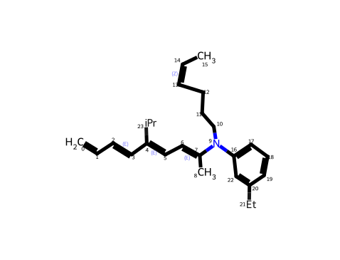 C=C/C=C/C(=C/C=C(\C)N(CCC/C=C\C)c1cccc(CC)c1)C(C)C